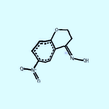 O=[N+]([O-])c1ccc2c(c1)/C(=N/O)CCO2